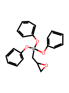 c1ccc(O[Si](CC2CO2)(Oc2ccccc2)Oc2ccccc2)cc1